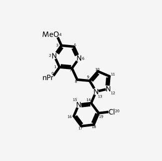 CCCc1nc(OC)cnc1Cc1ccnn1-c1ncccc1Cl